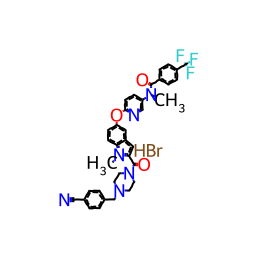 Br.CN(C(=O)c1ccc(C(F)(F)F)cc1)c1ccc(Oc2ccc3c(c2)cc(C(=O)N2CCN(Cc4ccc(C#N)cc4)CC2)n3C)nc1